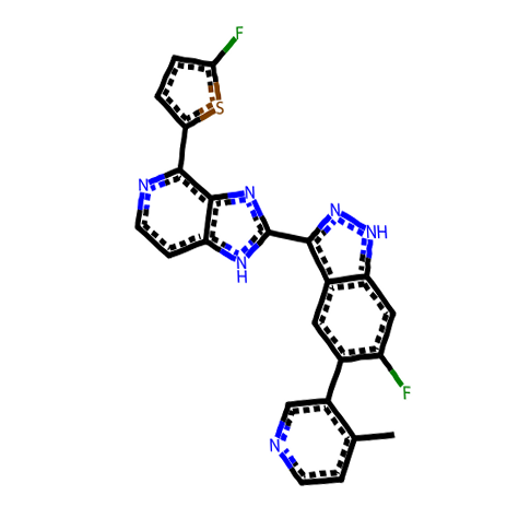 Cc1ccncc1-c1cc2c(-c3nc4c(-c5ccc(F)s5)nccc4[nH]3)n[nH]c2cc1F